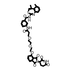 CC1=CSC(NC(=O)c2cccc(NC(=O)CCOCCOCCOc3cccc4c3C(=O)N(C3CCC(=O)NC3=O)C4=O)c2)=Nc2cccc(C)c21